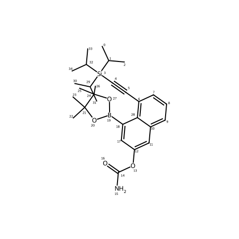 CC(C)[Si](C#Cc1cccc2cc(OC(N)=O)cc(B3OC(C)(C)C(C)(C)O3)c12)(C(C)C)C(C)C